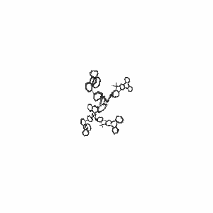 CC1(C)c2cc(N(c3ccc(-c4cccc5c4oc4ccccc45)cc3)c3cccc4c(N(c5ccc(-c6cccc7c6oc6ccccc67)cc5)c5ccc6c(c5)C(C)(C)c5cc7c8ccccc8c8ccccc8c7cc5-6)c5ccccc5cc34)ccc2-c2cc3c4ccccc4c4ccccc4c3cc21